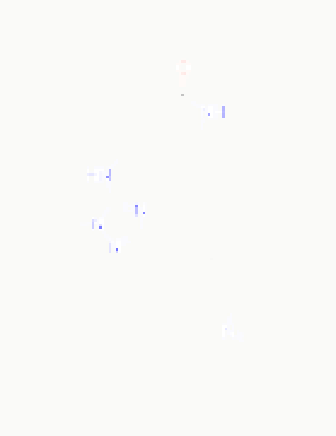 CCn1nc(-c2ccc(-c3nc(C)ccc3C)c(C)c2)nc1Nc1cc2c(cc1C)C(=O)NC2C